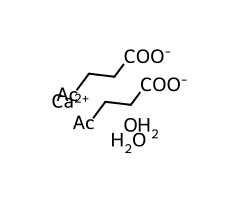 CC(=O)CCC(=O)[O-].CC(=O)CCC(=O)[O-].O.O.[Ca+2]